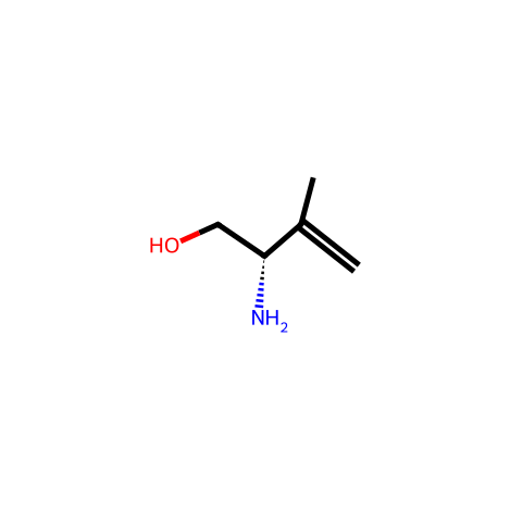 C=C(C)[C@H](N)CO